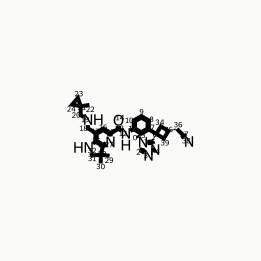 Cn1cnnc1[C@]1(c2cccc(NC(=O)c3cc(CNCC4(C)CC4)c4c(n3)C(C)(C)CN4)c2)C[C@H](CC#N)C1